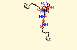 CC/C=C\C/C=C\C/C=C\C/C=C\C/C=C\CCCC(=O)NCCSSCCNC(=O)CCNC(=O)[C@H](OC(=O)c1cc(N)ccc1O)C(C)(C)COC(=O)CCC/C=C/C/C=C\C/C=C\C/C=C\C/C=C\CC